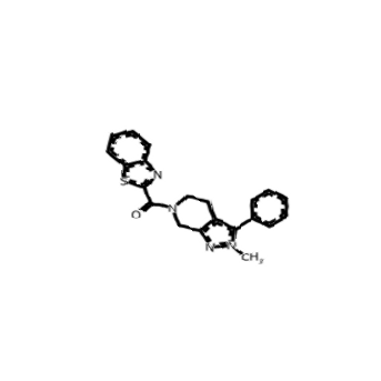 Cn1nc2c(c1-c1ccccc1)CCN(C(=O)c1nc3ccccc3s1)C2